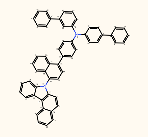 c1ccc(-c2ccc(N(c3ccc(-c4ccc(-n5c6ccccc6c6c7ccccc7ccc65)c5ccccc45)cc3)c3cccc(-c4ccccc4)c3)cc2)cc1